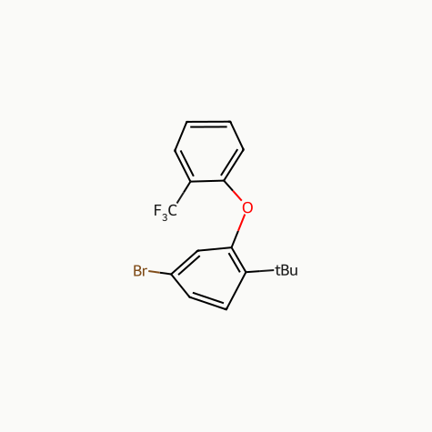 CC(C)(C)c1ccc(Br)cc1Oc1ccccc1C(F)(F)F